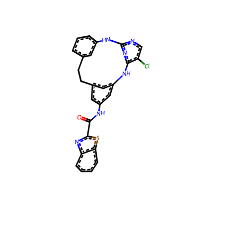 O=C(Nc1cc2cc(c1)Nc1nc(ncc1Cl)Nc1cccc(c1)CC2)c1nc2ccccc2s1